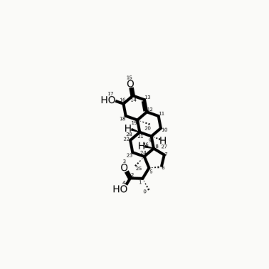 C[C@H](C(=O)O)[C@H]1CC[C@H]2[C@@H]3CCC4=CC(=O)C(O)C[C@]4(C)[C@H]3CC[C@]12C